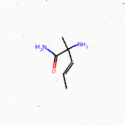 CC=CC(C)(N)C(N)=O